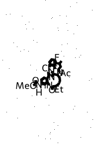 CC[C@@H]1CCC[C@H](N(CCC(C)c2c(F)ccc(Cl)c2F)C(C)=O)c2nc(c[nH]2)-c2ccc(NC(=O)OC)cc2NC1=O